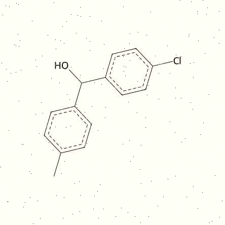 Cc1ccc(C(O)c2ccc(Cl)cc2)cc1